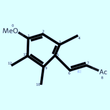 COc1cc(C)c(/C=C/C(C)=O)c(C)c1C